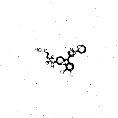 O=C(O)CCS(=O)(=O)NC1CCc2c(-c3cnn(C4CCCCO4)c3)c3ccc(Cl)c(Cl)c3n2C1